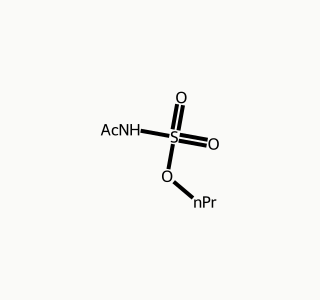 CCCOS(=O)(=O)NC(C)=O